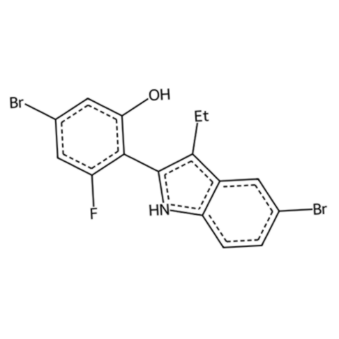 CCc1c(-c2c(O)cc(Br)cc2F)[nH]c2ccc(Br)cc12